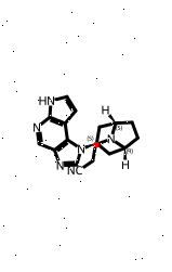 N#CCCN1[C@@H]2CC[C@H]1C[C@H](n1cnc3cnc4[nH]ccc4c31)C2